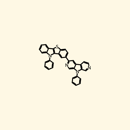 c1ccc(-n2c3cnccc3c3cc(-c4ccc5sc6c7ccccc7n(-c7ccccc7)c6c5c4)ncc32)cc1